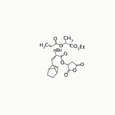 C=CC(=O)OC(C)C(=O)OCC.CCCCC(=CC1=CC2CCC1C2)C(=O)OC1CC(=O)OC1=O